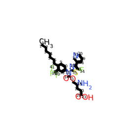 CCCCCCCCc1ccc(N(C(=O)OCC(N)CCC(=O)O)c2nc(-c3cccnc3)c(F)s2)cc1C(F)(F)F